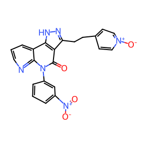 O=c1c2c(CCc3cc[n+]([O-])cc3)n[nH]c2c2cccnc2n1-c1cccc([N+](=O)[O-])c1